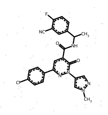 CC(NC(=O)c1cc(-c2ccc(Cl)cc2)nn(-c2cnn(C)c2)c1=O)c1ccc(F)c(C#N)c1